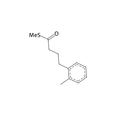 CSC(=O)CCCc1ccccc1C